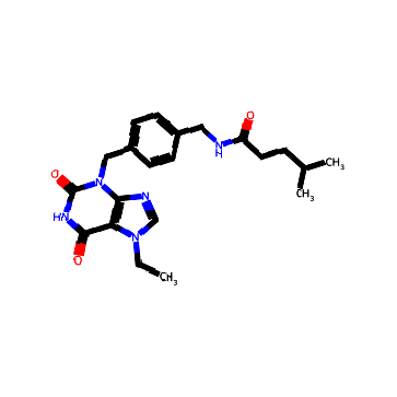 CCn1cnc2c1c(=O)[nH]c(=O)n2Cc1ccc(CNC(=O)CCC(C)C)cc1